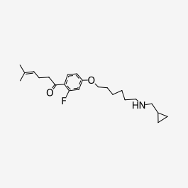 CC(C)=CCCC(=O)c1ccc(OCCCCCCNCC2CC2)cc1F